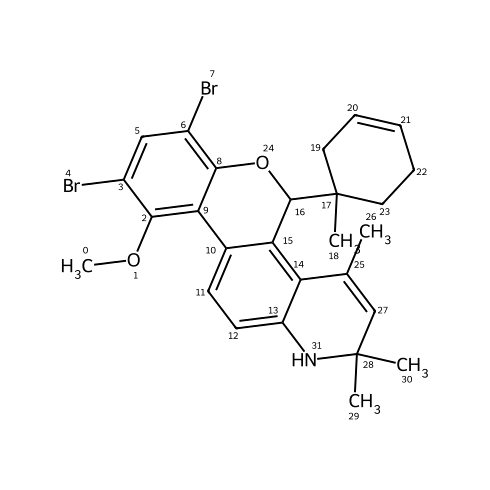 COc1c(Br)cc(Br)c2c1-c1ccc3c(c1C(C1(C)CC=CCC1)O2)C(C)=CC(C)(C)N3